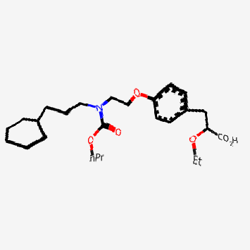 CCCOC(=O)N(CCCC1CCCCC1)CCOc1ccc(CC(OCC)C(=O)O)cc1